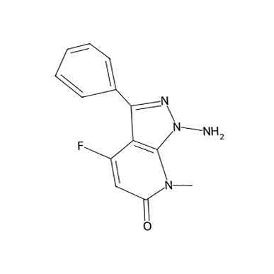 Cn1c(=O)cc(F)c2c(-c3ccccc3)nn(N)c21